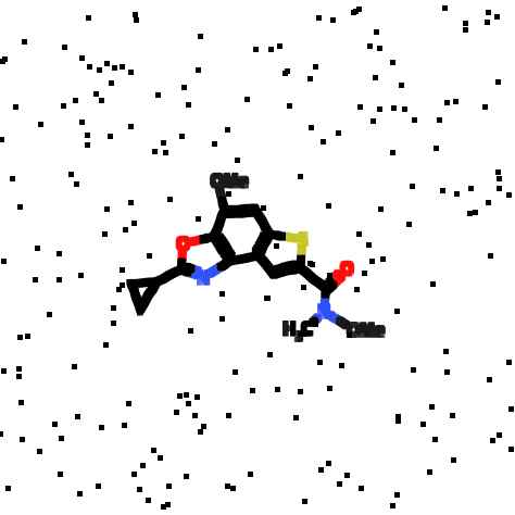 COc1cc2sc(C(=O)N(C)OC)cc2c2nc(C3CC3)oc12